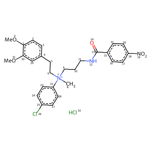 COc1ccc(CC[N+](C)(CCCNC(=O)c2ccc([N+](=O)[O-])cc2)c2ccc(Cl)cc2)cc1OC.Cl